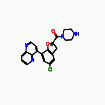 O=C([C@H]1Cc2cc(Cl)cc(-c3ccnc4cccnc34)c2O1)N1CCNCC1